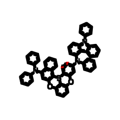 c1ccc(N(c2ccccc2)c2cc3c(c4ccccc24)B2c4c(cccc4Oc4cc(N(c5ccccc5)c5cccc6c5c5ccccc5n6-c5ccccc5)c5ccccc5c42)O3)cc1